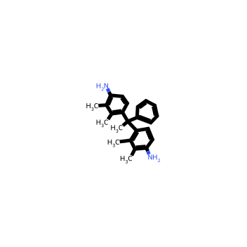 Cc1c(N)ccc(C(C)(c2ccccc2)c2ccc(N)c(C)c2C)c1C